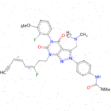 C#C/C=C\C=C(\F)CCn1c(=O)n(-c2cccc(OC)c2F)c(=O)c2c(CN(C)C)n(-c3ccc(NC(=O)NC)cc3)nc21